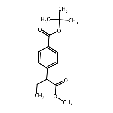 CCC(C(=O)OC)c1ccc(C(=O)OC(C)(C)C)cc1